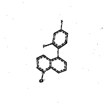 [O-][n+]1cccc2c(-c3ccc(F)cc3F)cccc21